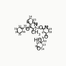 Cc1c(COc2cc(OCCC3(O)CCOCC3)ccn2)nc2ccccc2c1OCc1ccccc1